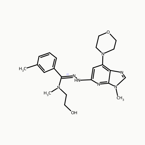 Cc1cccc(/C(=N/Nc2cc(N3CCOCC3)c3ncn(C)c3n2)N(C)CCO)c1